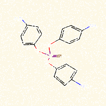 Nc1ccc(OP(=S)(Oc2ccc(N)cc2)Oc2ccc(N)cc2)cc1